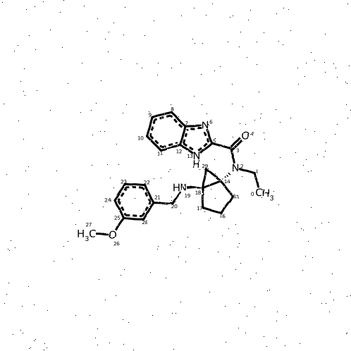 CCN(C(=O)c1nc2ccccc2[nH]1)[C@]12CCC[C@]1(NCc1cccc(OC)c1)C2